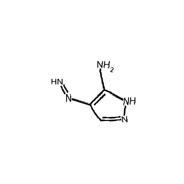 N=Nc1cn[nH]c1N